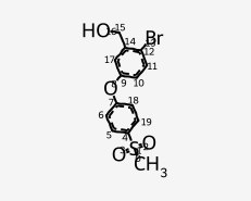 CS(=O)(=O)c1ccc(Oc2ccc(Br)c(CO)c2)cc1